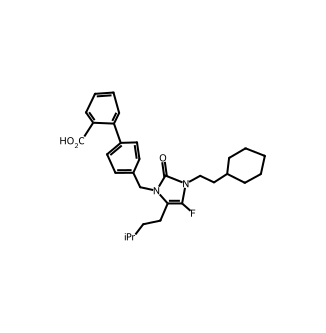 CC(C)CCc1c(F)n(CCC2CCCCC2)c(=O)n1Cc1ccc(-c2ccccc2C(=O)O)cc1